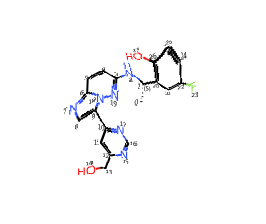 C[C@H](Nc1ccc2ncc(-c3cc(CO)ncn3)n2n1)c1cc(F)ccc1O